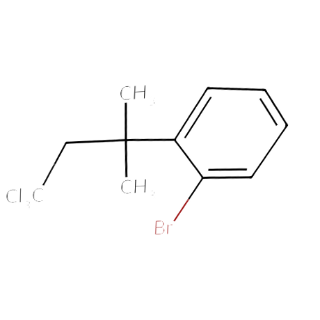 CC(C)(CC(Cl)(Cl)Cl)c1ccccc1Br